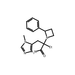 CCC(Cc1cncn1C)(C(N)=O)N1CCC1c1ccccc1